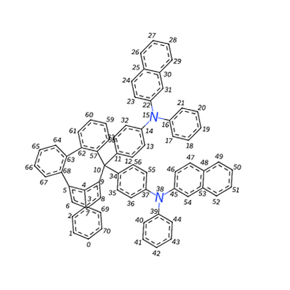 c1ccc(-c2c3cccc2C(c2ccc(N(c4ccccc4)c4ccc5ccccc5c4)cc2)(c2ccc(N(c4ccccc4)c4ccc5ccccc5c4)cc2)c2ccccc2-c2ccccc2-3)cc1